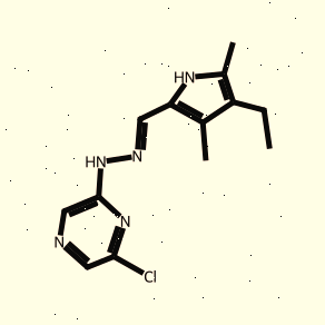 CCc1c(C)[nH]c(C=NNc2cncc(Cl)n2)c1C